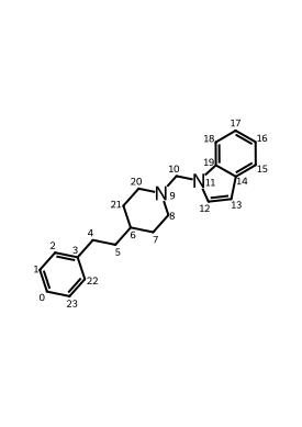 c1ccc(CCC2CCN(Cn3ccc4ccccc43)CC2)cc1